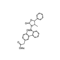 COC(=O)Cc1ccc(OC)c(-c2ccccc2CN2C(=O)OC(c3ccccc3)C2C)c1